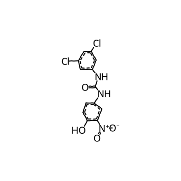 O=C(Nc1cc(Cl)cc(Cl)c1)Nc1ccc(O)c([N+](=O)[O-])c1